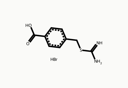 Br.N=C(N)SCc1ccc(C(=O)O)cc1